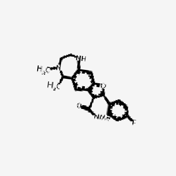 CNC(=O)c1c(-c2ccc(F)cc2)oc2cc3c(cc12)C(C)N(C)CCN3